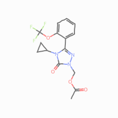 CC(=O)OCn1nc(-c2ccccc2OC(F)(F)F)n(C2CC2)c1=O